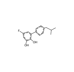 CC(C)Cc1ccc(-c2cc(F)cc(O)c2O)cc1